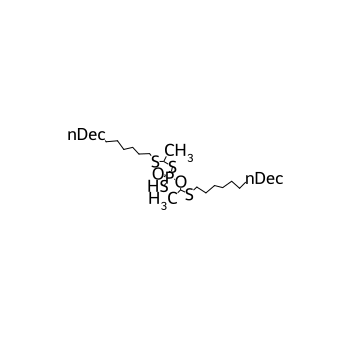 CCCCCCCCCCCCCCCCSC(C)OP(=O)(S)SC(C)SCCCCCCCCCCCCCCCC